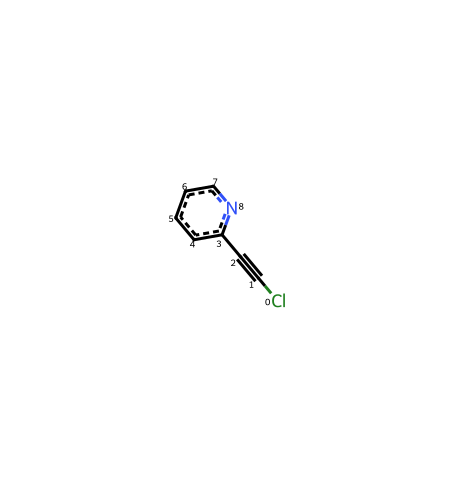 ClC#Cc1ccccn1